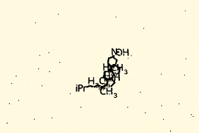 CC(C)CCC[C@@H](C)[C@H]1CC[C@H]2[C@@H]3CCC4CC(=NO)CC[C@]4(C)[C@H]3CC[C@]12C